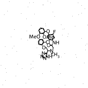 COc1cccc(Oc2ccc(NC(=O)CN(C)C(COc3ccccc3Cl)c3nnn[nH]3)cc2F)c1OC